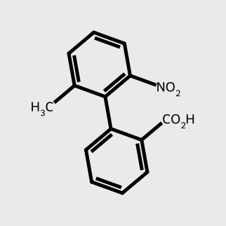 Cc1cccc([N+](=O)[O-])c1-c1ccccc1C(=O)O